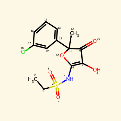 CCS(=O)(=O)NC1=C(O)C(=O)C(C)(c2cccc(Cl)c2)O1